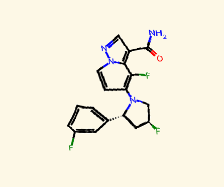 NC(=O)c1cnn2ccc(N3C[C@@H](F)C[C@@H]3c3cccc(F)c3)c(F)c12